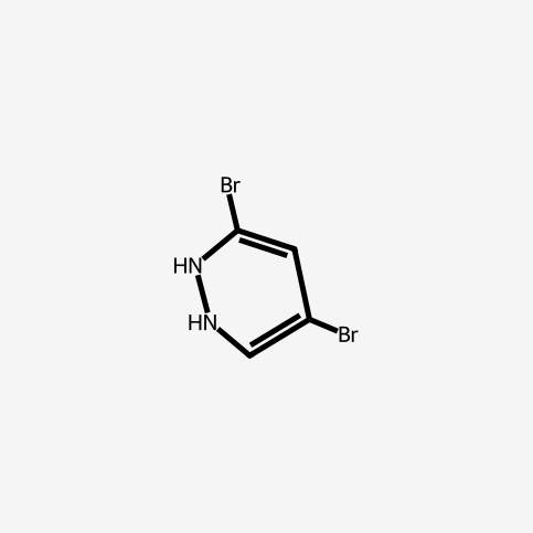 BrC1=CNNC(Br)=C1